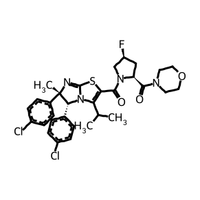 CC(C)C1=C(C(=O)N2C[C@@H](F)C[C@H]2C(=O)N2CCOCC2)SC2=N[C@@](C)(c3ccc(Cl)cc3)[C@@H](c3ccc(Cl)cc3)N21